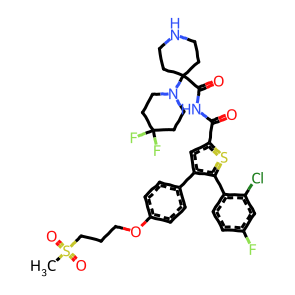 CS(=O)(=O)CCCOc1ccc(-c2cc(C(=O)NC(=O)C3(N4CCC(F)(F)CC4)CCNCC3)sc2-c2ccc(F)cc2Cl)cc1